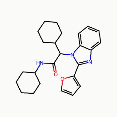 O=C(NC1CCCCC1)C(C1CCCCC1)n1c(-c2ccco2)nc2ccccc21